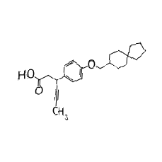 CC#CC(CC(=O)O)c1ccc(OCC2CCC3(CCCC3)CC2)cc1